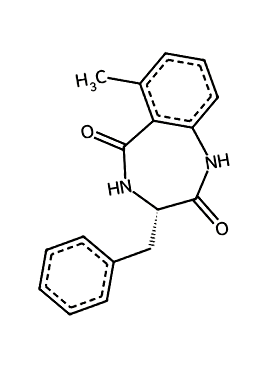 Cc1cccc2c1C(=O)N[C@@H](Cc1ccccc1)C(=O)N2